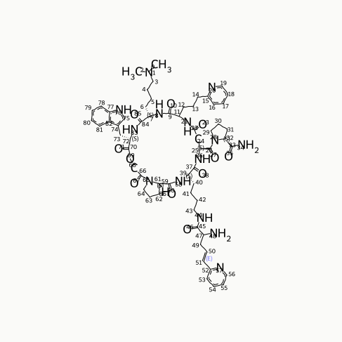 CN(C)CCCC[C@@H]1NC(=O)C(CCCc2ccccn2)NC(=O)C[C@@H](C(=O)N2CCC[C@H]2C(N)=O)NC(=O)[C@H](CCCCNC(=O)C(N)C/C=C/c2ccccn2)NC(=O)[C@@H]2CCCN2C(=O)COC(=O)[C@H](Cc2c[nH]c3ccccc23)NC1=O